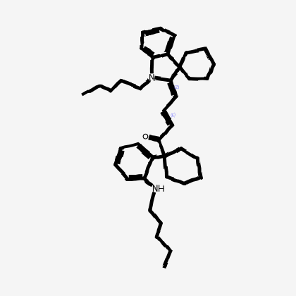 CCCCCNc1ccccc1C1(C(=O)/C=C/C=C2\N(CCCCC)c3ccccc3C23CCCCC3)CCCCC1